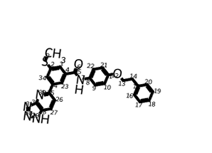 CSc1cc(C(=O)Nc2ccc(OCCc3ccccc3)cc2)cc(-c2ccc3[nH]nnc3n2)c1